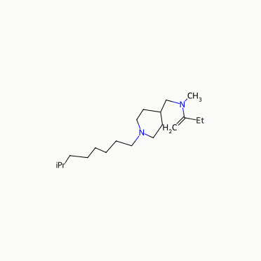 C=C(CC)N(C)CC1CCN(CCCCCCC(C)C)CC1